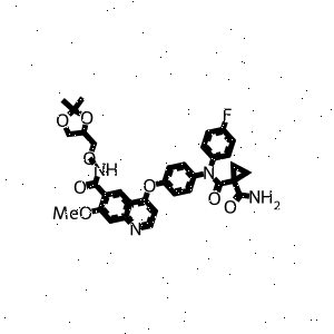 COc1cc2nccc(Oc3ccc(N(C(=O)C4(C(N)=O)CC4)c4ccc(F)cc4)cc3)c2cc1C(=O)NOCC1COC(C)(C)O1